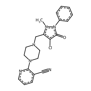 Cn1c(CN2CCN(c3ncccc3C#N)CC2)c(Cl)c(=O)n1-c1ccccc1